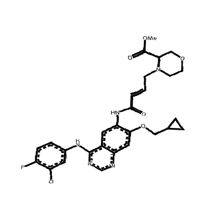 COC(=O)C1COCCN1C/C=C/C(=O)Nc1cc2c(Nc3ccc(F)c(Cl)c3)ncnc2cc1OCC1CC1